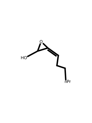 CCCCCC=C1OC1O